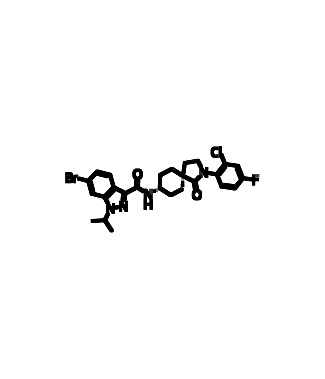 CC(C)n1nc(C(=O)N[C@H]2CC[C@@]3(CCN(c4ccc(F)cc4Cl)C3=O)CC2)c2ccc(Br)cc21